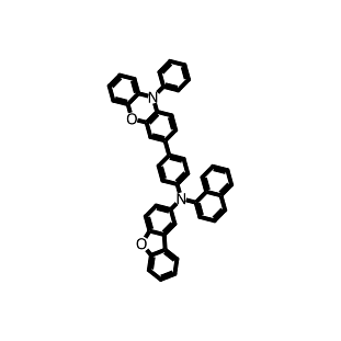 c1ccc(N2c3ccccc3Oc3cc(-c4ccc(N(c5ccc6oc7ccccc7c6c5)c5cccc6ccccc56)cc4)ccc32)cc1